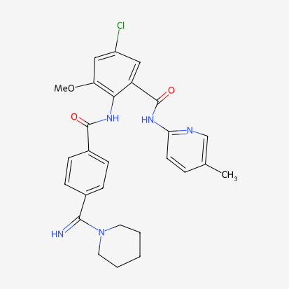 COc1cc(Cl)cc(C(=O)Nc2ccc(C)cn2)c1NC(=O)c1ccc(C(=N)N2CCCCC2)cc1